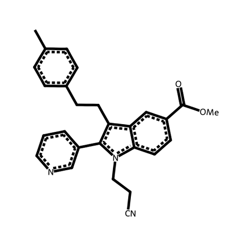 COC(=O)c1ccc2c(c1)c(CCc1ccc(C)cc1)c(-c1cccnc1)n2CCC#N